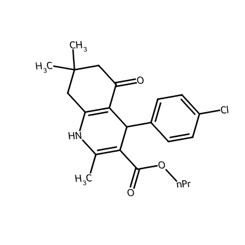 CCCOC(=O)C1=C(C)NC2=C(C(=O)CC(C)(C)C2)C1c1ccc(Cl)cc1